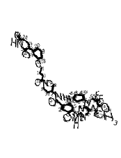 COc1cc(C(=O)NC2CCN(C(=O)CCCOc3cccc(C4CCC(=O)NC4=O)c3)CC2)c(F)cc1Nc1ncc2c(n1)N(C1CCCC1)CC(F)(F)C(=O)N2C